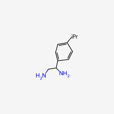 CC(C)c1ccc(C(N)CN)cc1